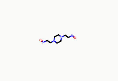 O=NCCN1CCN(CCN=O)CC1